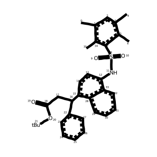 Cc1cc(C)c(C)c(S(=O)(=O)Nc2ccc(C(CC(=O)OC(C)(C)C)c3ccccc3)c3ccccc23)c1C